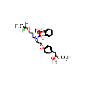 CCOC(Cc1ccc(OCCN(CCCOC(F)(F)C(F)(F)F)C(=O)Oc2ccccc2C(F)(F)F)cc1)C(=O)O